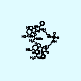 CN[C@@H](C)C(=O)N[C@@H]1C(=O)N2[C@@H](CC[C@@H]1CO)CC[C@H]2C(=O)N[C@H](C(=O)NCCCCNc1c(NCCCCNC(=O)[C@@H](NC(=O)[C@@H]2CC[C@@H]3CC[C@H](CO)[C@H](NC(=O)[C@H](C)NC)C(=O)N32)c2ccccc2)c(=O)c1=O)c1ccccc1